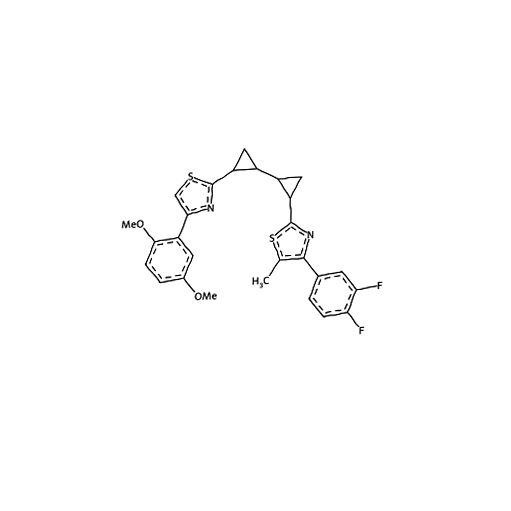 COc1ccc(OC)c(-c2csc(C3CC3C3CC3c3nc(-c4ccc(F)c(F)c4)c(C)s3)n2)c1